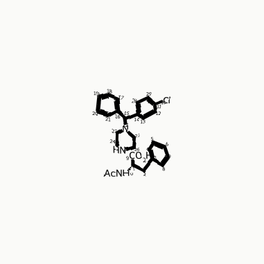 CC(=O)N[C@@H](Cc1ccccc1)C(=O)O.Clc1ccc(C(c2ccccc2)N2CCNCC2)cc1